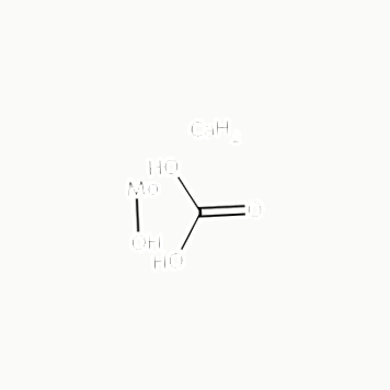 O=C(O)O.[CaH2].[OH][Mo]